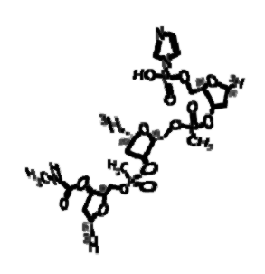 [3H][C@H]1CC(OC(=O)NC)[C@@H](COP(C)(=O)OC2C[C@H]([3H])O[C@@H]2COP(C)(=O)OC2C[C@H]([3H])O[C@@H]2COP(=O)(O)n2ccnc2)O1